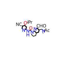 CC(=O)N(C)Cc1cc2c(nc1C=O)N(C(=O)Nc1cc(OC(C)C)c(C#N)cn1)CCC2